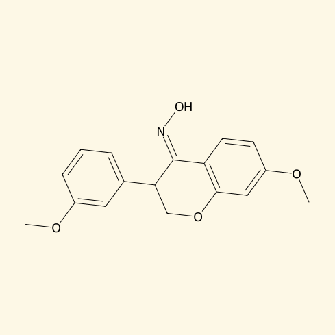 COc1cccc(C2COc3cc(OC)ccc3C2=NO)c1